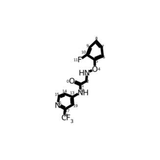 O=C(CNOc1ccccc1F)Nc1ccnc(C(F)(F)F)c1